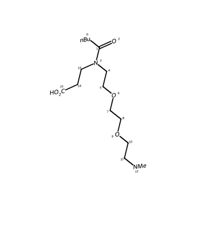 CCCCC(=O)N(CCOCCOCCNC)CCC(=O)O